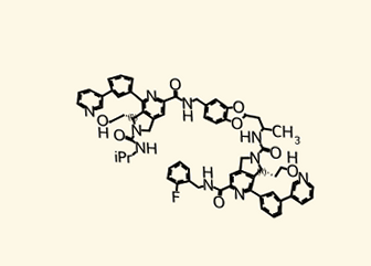 CC(C)NC(=O)N1Cc2cc(C(=O)NCc3ccc4c(c3)OC(CC(C)NC(=O)N3Cc5cc(C(=O)NCc6ccccc6F)nc(-c6cccc(-c7cccnc7)c6)c5[C@H]3CCO)O4)nc(-c3cccc(-c4cccnc4)c3)c2[C@H]1CCO